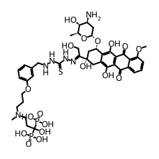 COc1cccc2c1C(=O)c1c(O)c3c(c(O)c1C2=O)C[C@@](O)(/C(CO)=N/NC(=S)NNCc1cccc(OCCCN(C)CCC(O)(P(=O)(O)O)P(=O)(O)O)c1)C[C@@H]3O[C@H]1C[C@H](N)[C@H](O)[C@H](C)O1